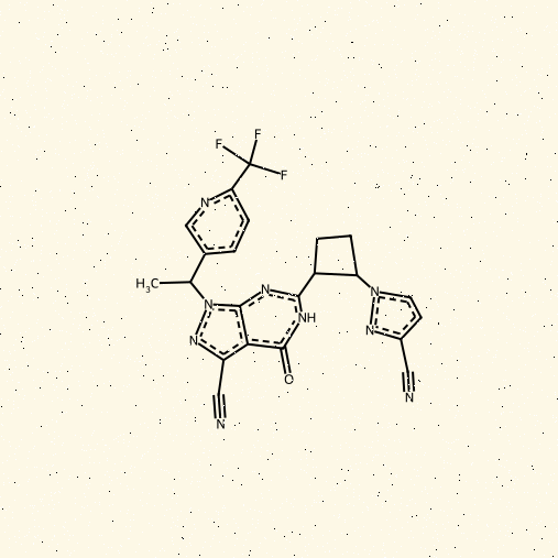 CC(c1ccc(C(F)(F)F)nc1)n1nc(C#N)c2c(=O)[nH]c(C3CCC3n3ccc(C#N)n3)nc21